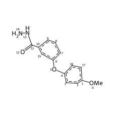 COc1ccc(Oc2cccc(C(=O)NN)c2)cc1